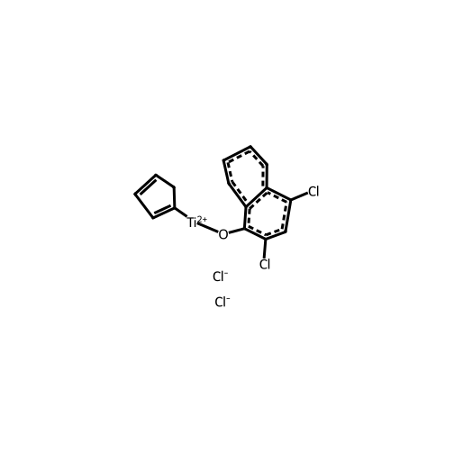 Clc1cc(Cl)c2ccccc2c1[O][Ti+2][C]1=CC=CC1.[Cl-].[Cl-]